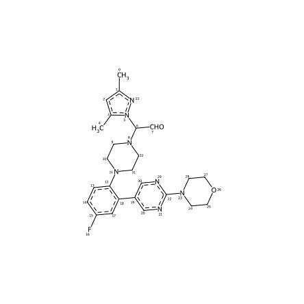 Cc1cc(C)n(C(C=O)N2CCN(c3ccc(F)cc3-c3cnc(N4CCOCC4)nc3)CC2)n1